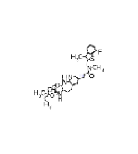 Cc1c(CN(C)C(=O)/C=C/c2cnc3c(c2)CCC(NC(=O)OC(C)(C)C)C(=O)N3)sc2c(F)cccc12